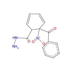 NNC(=O)C1C=CC=CC1(C(=O)c1ccccc1)[N+](=O)[O-]